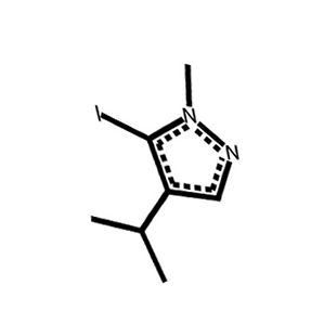 CC(C)c1cnn(C)c1I